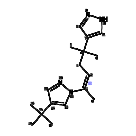 C/C(=C/CC(C)(C)c1cn[nH]c1)n1cc(C(C)(C)C)cn1